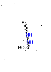 CC/C=C/C=C/CCNCCCNCCC(=O)O